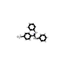 O=[N+]([O-])c1ccc(/C(=N\c2ccccc2)Nc2ccccc2)cc1